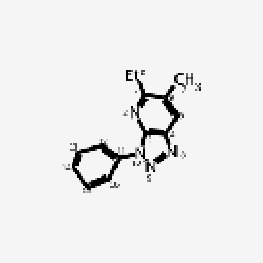 CCc1nc2c(cc1C)nnn2-c1ccccc1